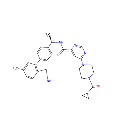 C[C@@H](NC(=O)c1cc(N2CCN(C(=O)C3CC3)CC2)ncn1)c1ccc(-c2cc(C(F)(F)F)ccc2CN)cc1